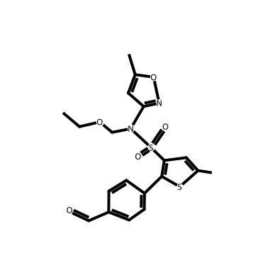 CCOCN(c1cc(C)on1)S(=O)(=O)c1cc(C)sc1-c1ccc(C=O)cc1